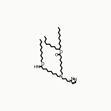 CCCCCCCCCOC(=N)CCCCCCCN(CCCCCCCC(=O)OC(CCCCCCCC)CCCCCCCC)CCCn1ccnn1